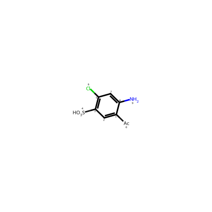 CC(=O)c1cc(S(=O)(=O)O)c(Cl)cc1N